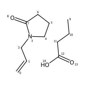 C=CCN1CCCC1=O.CCCC(=O)O